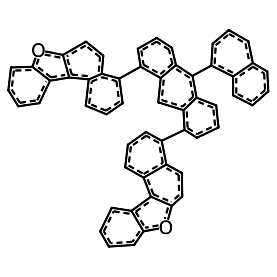 c1ccc2c(-c3c4cccc(-c5cccc6c5ccc5oc7ccccc7c56)c4cc4c(-c5cccc6c5ccc5oc7ccccc7c56)cccc34)cccc2c1